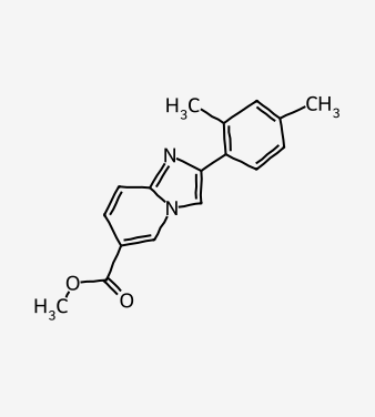 COC(=O)c1ccc2nc(-c3ccc(C)cc3C)cn2c1